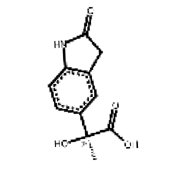 C[C@@](O)(C(=O)O)c1ccc2c(c1)CC(=O)N2